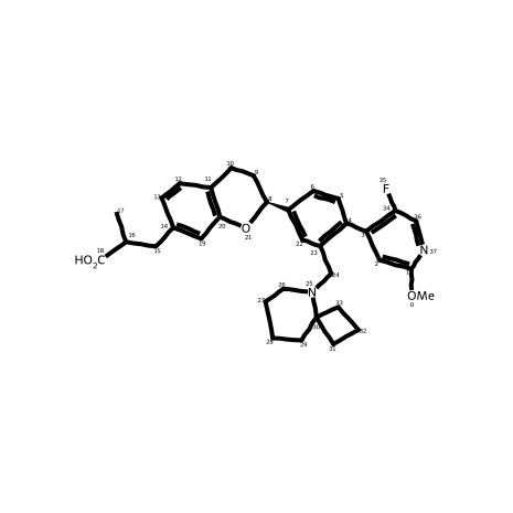 COc1cc(-c2ccc([C@@H]3CCc4ccc(CC(C)C(=O)O)cc4O3)cc2CN2CCCCC23CCC3)c(F)cn1